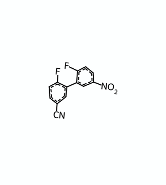 N#Cc1ccc(F)c(-c2cc([N+](=O)[O-])ccc2F)c1